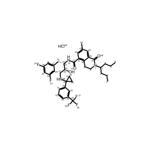 CCCC(CCC)N1CCc2c(C(=O)N[C@@H](Cc3cc(F)cc(F)c3)[C@@H](O)CNC3(c4cccc(C(F)(F)F)c4)CC3)cc(C)cc2C1=O.Cl